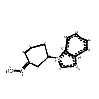 O/N=C1\CCCC(n2cnc3ccccc32)C1